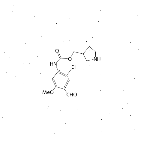 COc1cc(NC(=O)OCC2CCNC2)c(Cl)cc1C=O